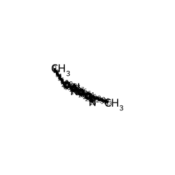 CCCCCCCCC1CCC(c2cnc(-c3ccc(C4CCC(C#N)(CCCCCCCC)CC4)cc3)nc2)CC1